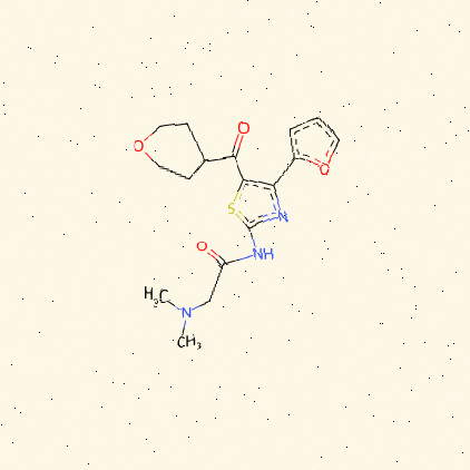 CN(C)CC(=O)Nc1nc(-c2ccco2)c(C(=O)C2CCOCC2)s1